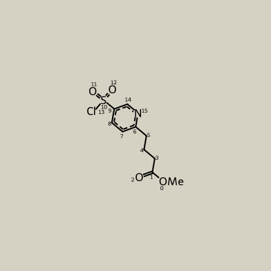 COC(=O)CCCc1ccc(S(=O)(=O)Cl)cn1